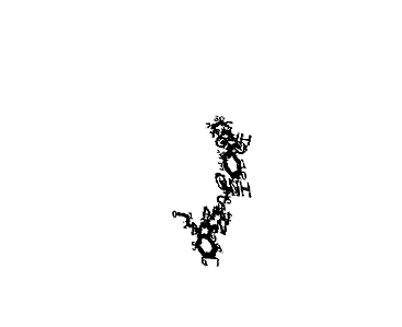 CCCn1c2ccccc2c2nnc(SCC(=O)Nc3ccc(S(=O)(=O)Nc4nccs4)cc3)nc21